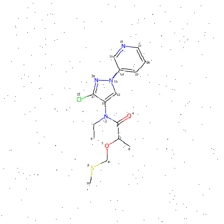 CCN(C(=O)C(C)OCSC)c1cn(-c2cccnc2)nc1Cl